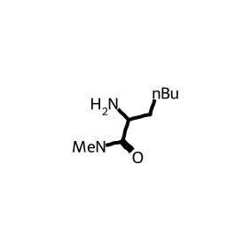 CCCCCC(N)C(=O)NC